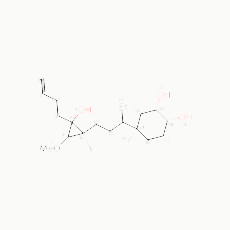 C=CCCC1(O)C(OC)[C@]1(C)CCC(CC)[C@]1(C)CC[C@@H](O)[C@@H](O)C1